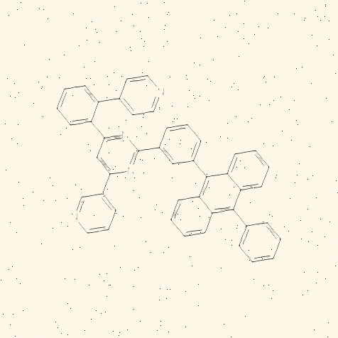 c1ccc(-c2c3ccccc3c(-c3cccc(-c4nc(-c5cccnc5)cc(-c5ccccc5-c5ccncc5)n4)c3)c3ccccc23)cc1